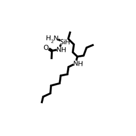 CCCCCCCCNC(CCC)CCC(C)[SiH](N)NC(C)=O